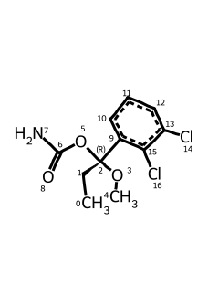 CC[C@@](OC)(OC(N)=O)c1cccc(Cl)c1Cl